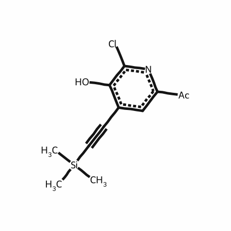 CC(=O)c1cc(C#C[Si](C)(C)C)c(O)c(Cl)n1